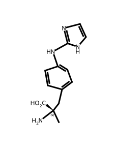 C[C@](N)(Cc1ccc(Nc2ncc[nH]2)cc1)C(=O)O